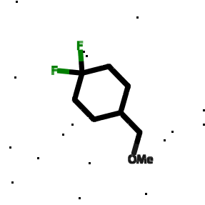 COCC1CCC(F)(F)CC1